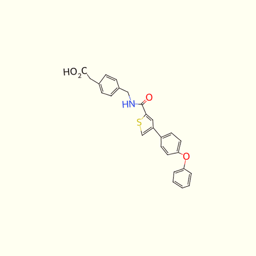 O=C(O)Cc1ccc(CNC(=O)c2cc(-c3ccc(Oc4ccccc4)cc3)cs2)cc1